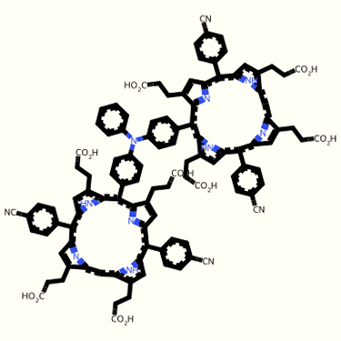 N#Cc1ccc(-c2c3nc(c(-c4ccc(N(c5ccccc5)c5ccc(-c6c7nc(c(-c8ccc(C#N)cc8)c8cc(CCC(=O)O)c(cc9nc(c(-c%10ccc(C#N)cc%10)c%10cc(CCC(=O)O)c6[nH]%10)C=C9CCC(=O)O)[nH]8)C=C7CCC(=O)O)cc5)cc4)c4[nH]c(cc4CCC(=O)O)c(-c4ccc(C#N)cc4)c4nc(cc5[nH]c2cc5CCC(=O)O)C(CCC(=O)O)=C4)C(CCC(=O)O)=C3)cc1